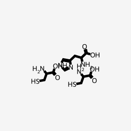 NC(CS)C(=O)O.NC(CS)C(=O)O.NC(Cc1c[nH]cn1)C(=O)O